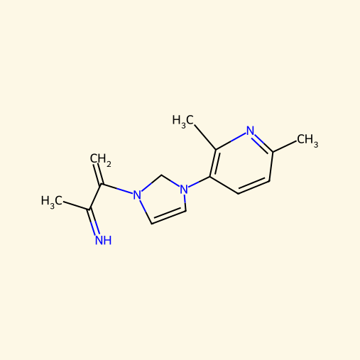 C=C(C(C)=N)N1C=CN(c2ccc(C)nc2C)C1